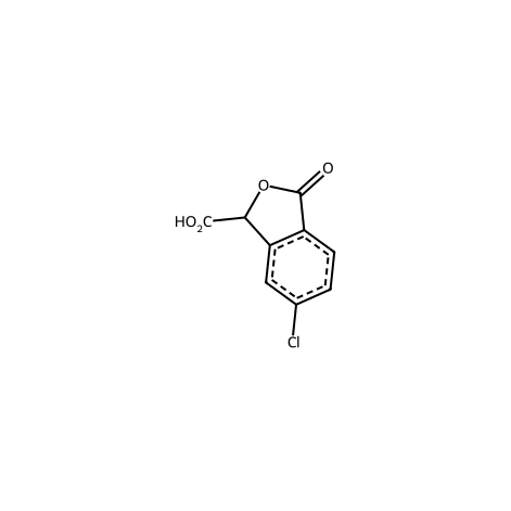 O=C1OC(C(=O)O)c2cc(Cl)ccc21